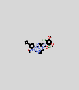 COc1cc(OC)c(Cl)c(N2Cc3cnc(N[C@@H]4CCC(C5CCC5)C[C@@H]4NC(C)=O)nc3N(Cc3ccn(C)n3)C2=O)c1Cl